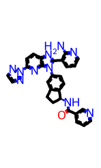 Nc1ncccc1-c1nc2ccc(-n3nccn3)nc2n1-c1ccc2c(c1)CC[C@@H]2NC(=O)c1cccnc1